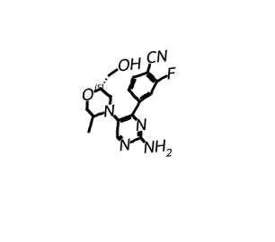 CC1CO[C@H](CO)CN1c1cnc(N)nc1-c1ccc(C#N)c(F)c1